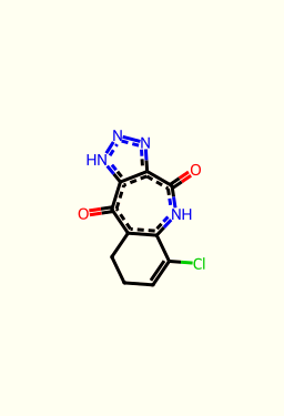 O=c1[nH]c2c(c(=O)c3[nH]nnc13)CCC=C2Cl